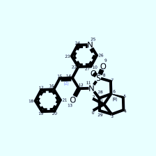 CC1(C)C2CC[C@@]13CS(=O)(=O)N(C(=O)/C(=C\c1ccccc1)c1ccncc1)C3C2